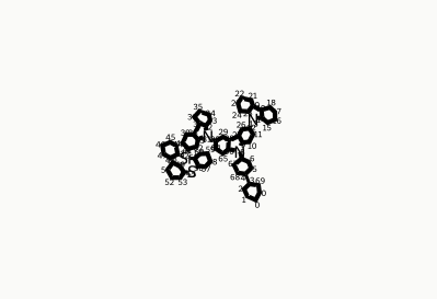 c1ccc(-c2ccc(-n3c4ccc(-n5c6ccccc6c6ccccc65)cc4c4cc(-n5c6ccccc6c6ccc([Si]7(c8ccccc8)c8ccccc8Sc8ccccc87)cc65)ccc43)cc2)cc1